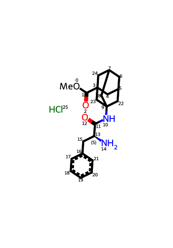 COC(=O)C12CC3CC(CC(NC(=O)[C@@H](N)Cc4ccccc4)(C3)C1)C2.Cl